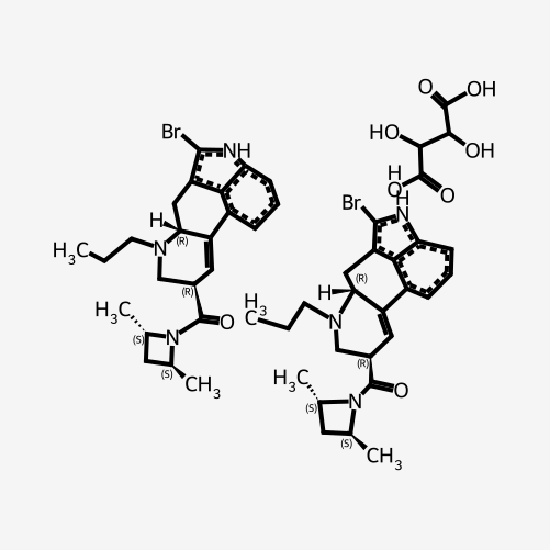 CCCN1C[C@H](C(=O)N2[C@@H](C)C[C@@H]2C)C=C2c3cccc4[nH]c(Br)c(c34)C[C@H]21.CCCN1C[C@H](C(=O)N2[C@@H](C)C[C@@H]2C)C=C2c3cccc4[nH]c(Br)c(c34)C[C@H]21.O=C(O)C(O)C(O)C(=O)O